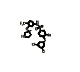 C[C@@]1(Oc2cc(NS(=O)(=O)c3cnc(Sc4cc(Cl)cc(Cl)c4)c(Br)c3)ccc2C(F)(F)F)CCNC1